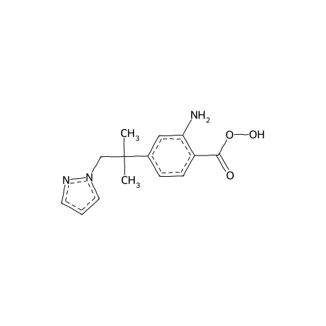 CC(C)(Cn1cccn1)c1ccc(C(=O)OO)c(N)c1